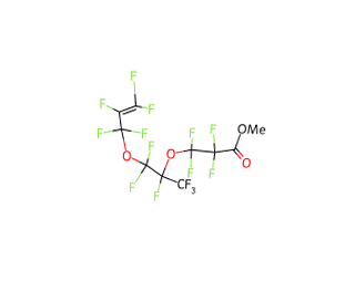 COC(=O)C(F)(F)C(F)(F)OC(F)(C(F)(F)F)C(F)(F)OC(F)(F)C(F)=C(F)F